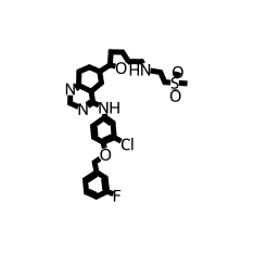 CS(=O)(=O)CCNCC1CCC(C2CCC3=NCN=C(Nc4ccc(OCc5cccc(F)c5)c(Cl)c4)C3C2)O1